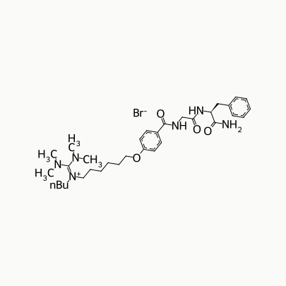 CCCC[N+](CCCCCCOc1ccc(C(=O)NCC(=O)N[C@@H](Cc2ccccc2)C(N)=O)cc1)=C(N(C)C)N(C)C.[Br-]